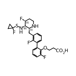 O=C(O)CCOc1c(F)cccc1-c1cccc(C[C@@H]2NCC[C@H](F)[C@@H]2NSC2(F)CC2)c1F